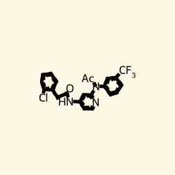 CC(=O)N(c1cccc(C(F)(F)F)c1)c1cc(NC(=O)Cc2ccccc2Cl)ccn1